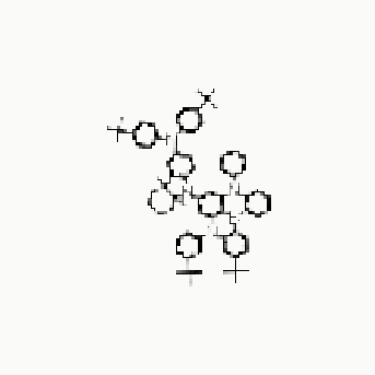 CC(C)(C)c1ccc(N(c2ccc(C(C)(C)C)cc2)c2ccc3c(c2)C2(C)CCCCC2(C)N3c2cc3c4c(c2)N(c2cccc(C(C)(C)C)c2)c2cc(C(C)(C)C)ccc2B4c2ccccc2N3c2ccccc2)cc1